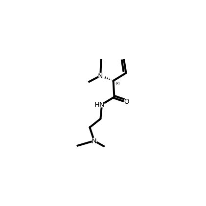 C=C[C@H](C(=O)NCCN(C)C)N(C)C